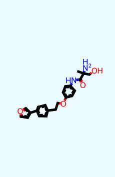 CC(N)(CO)C(=O)Nc1ccc(OCCc2ccc(-c3ccoc3)cc2)cc1